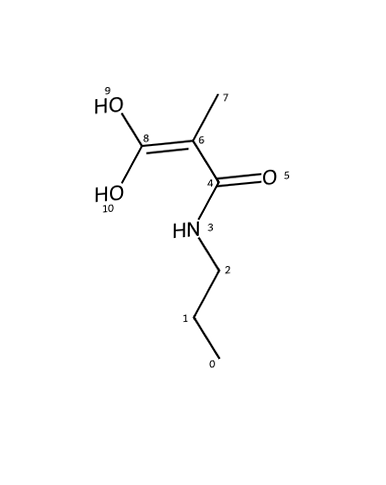 CCCNC(=O)C(C)=C(O)O